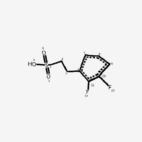 O=S(=O)(O)CCc1cccc(F)c1F